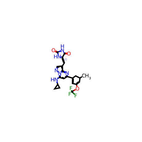 CC1C=C(OC(F)(F)F)C=C(c2cc(NC3CC3)n3ncc(/C=C4\NC(=O)NC4=O)c3n2)C1